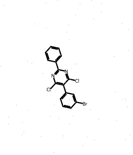 Clc1nc(-c2ccccc2)nc(Cl)c1-c1cccc(Br)c1